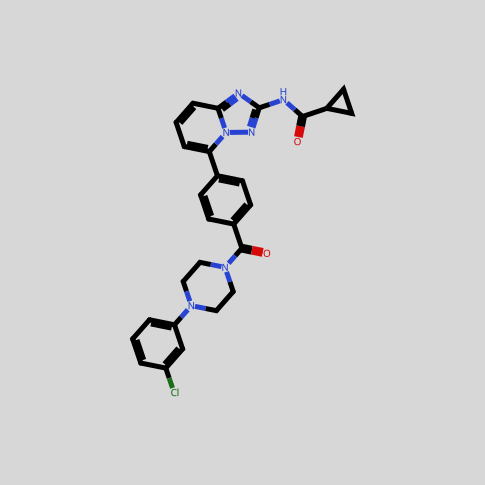 O=C(Nc1nc2cccc(-c3ccc(C(=O)N4CCN(c5cccc(Cl)c5)CC4)cc3)n2n1)C1CC1